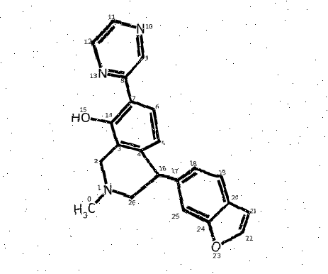 CN1Cc2c(ccc(-c3cnccn3)c2O)C(c2ccc3ccoc3c2)C1